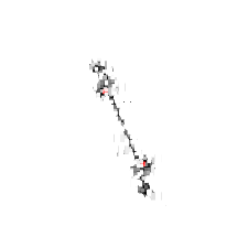 CC(C)(COP(=O)(O)OP(=O)(O)OC[C@H]1O[C@@H](n2cnc3c(N)ncnc32)[C@H](O)[C@@H]1OP(=O)(O)O)[C@@H](O)C(=O)NCCC(=O)NCCSSCCNC(=O)CCNC(=O)[C@H](O)C(C)(C)COP(=O)(O)OP(=O)(O)OC[C@H]1O[C@@H](n2cnc3c(N)ncnc32)[C@H](O)[C@@H]1OP(=O)(O)O